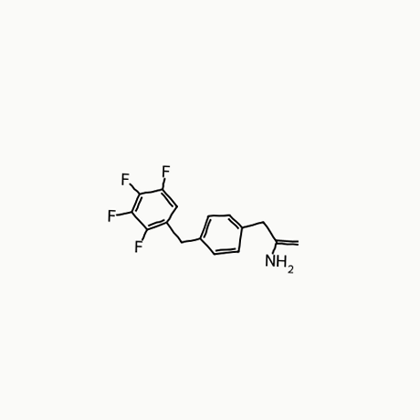 C=C(N)Cc1ccc(Cc2cc(F)c(F)c(F)c2F)cc1